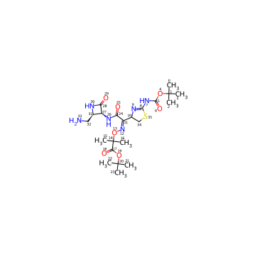 CC(C)(C)OC(=O)NC1=NC(/C(=N/OC(C)(C)C(=O)OC(C)(C)C)C(=O)N[C@@H]2C(=O)N[C@@H]2CN)CS1